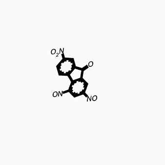 O=Nc1cc(N=O)c2c(c1)C(=O)c1cc([N+](=O)[O-])ccc1-2